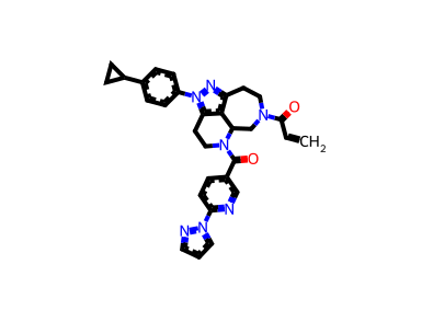 C=CC(=O)N1CCc2nn(-c3ccc(C4CC4)cc3)c3c2C(C1)N(C(=O)c1ccc(-n2cccn2)nc1)CC3